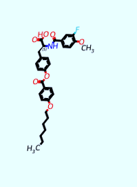 CCCCCCCOc1ccc(C(=O)Oc2ccc(C[C@H](NC(=O)c3ccc(OC)c(F)c3)C(=O)O)cc2)cc1